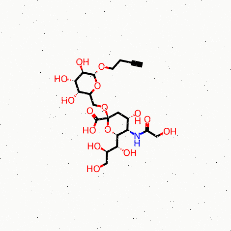 C#CCCO[C@@H]1OC(CO[C@@]2(C(=O)O)C[C@H](O)[C@@H](NC(=O)CO)[C@H]([C@H](O)[C@H](O)CO)O2)[C@H](O)[C@H](O)[C@H]1O